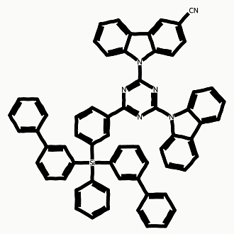 N#Cc1ccc2c(c1)c1ccccc1n2-c1nc(-c2cccc([Si](c3ccccc3)(c3cccc(-c4ccccc4)c3)c3cccc(-c4ccccc4)c3)c2)nc(-n2c3ccccc3c3ccccc32)n1